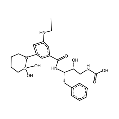 CCNc1cc(C(=O)N[C@@H](Cc2ccccc2)[C@H](O)CNC(=O)O)cc(N2CCCCS2(O)O)c1